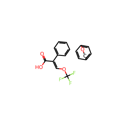 O=C(O)/C(=C/OC(F)(F)F)c1ccccc1.c1cc2ccc1CO2